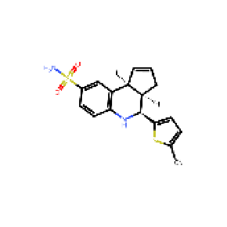 N#Cc1ccc([C@H]2Nc3ccc(S(N)(=O)=O)cc3[C@H]3C=CC[C@H]32)s1